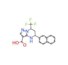 O=C(O)c1cnn2c1NC(c1ccc3ccccc3c1)CC2C(F)(F)F